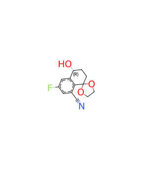 N#Cc1cc(F)cc2c1C1(CC[C@H]2O)OCCO1